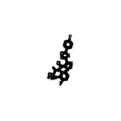 COCC(C)n1c(=O)c2c(-c3noc(-c4ccc(F)cc4)n3)ncn2c2ccc(F)c(C#N)c21